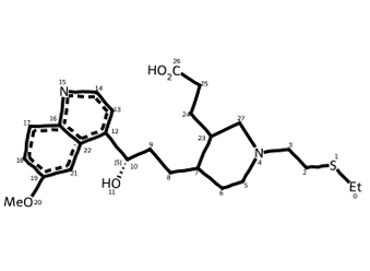 CCSCCN1CCC(CC[C@H](O)c2ccnc3ccc(OC)cc23)C(CCC(=O)O)C1